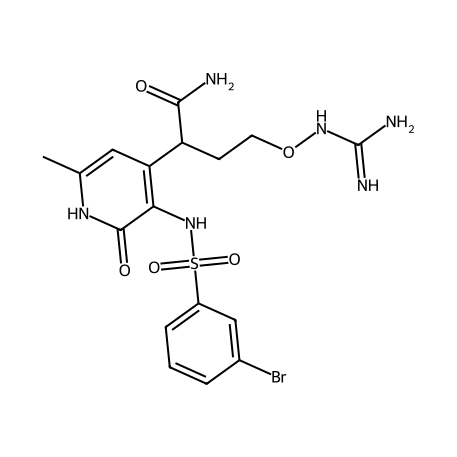 Cc1cc(C(CCONC(=N)N)C(N)=O)c(NS(=O)(=O)c2cccc(Br)c2)c(=O)[nH]1